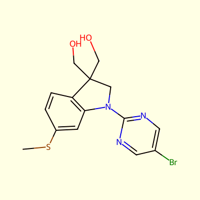 CSc1ccc2c(c1)N(c1ncc(Br)cn1)CC2(CO)CO